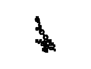 Cc1c(-c2[nH]c3ccc(C4CCN(C(=O)OCCn5ccnc5)CC4)cc3c2C(C)C)cn2ncnc2c1C